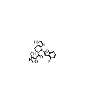 Cc1ncoc1C(=O)N1CCc2[nH]cnc2[C@H]1c1cc2c(F)cccc2o1